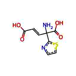 NC(C=CC(=O)O)(C(=O)O)c1nccs1